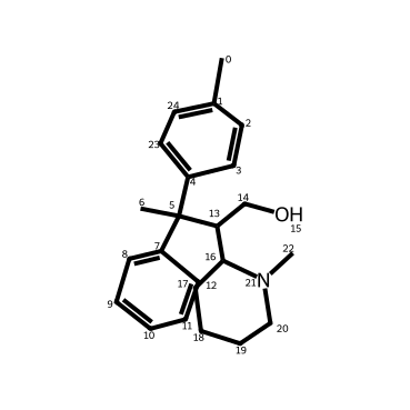 Cc1ccc(C(C)(c2ccccc2)C(CO)C2CCCCN2C)cc1